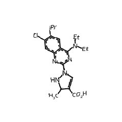 CCN(CC)c1nc(N2C=C(C(=O)O)C(C)N2)nc2cc(Cl)c(C(C)C)cc12